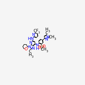 Cc1cc(-c2ccc(Nc3cc(Nc4cccc(C(F)(F)F)n4)nc4c3nc(C)n4C3CCCCO3)c(S(C)(=O)=O)c2)nn1C